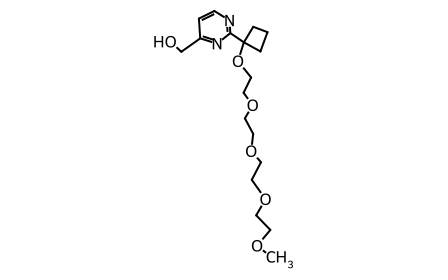 COCCOCCOCCOCCOC1(c2nccc(CO)n2)CCC1